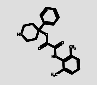 Cc1cccc(C)c1NC(=O)C(=O)OC1(c2ccccc2)CCNCC1